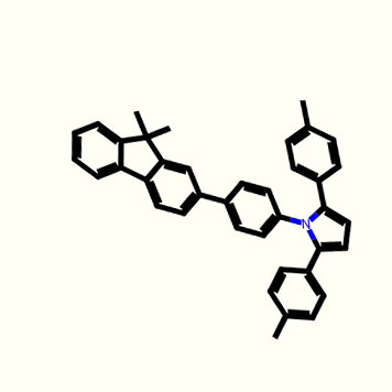 Cc1ccc(-c2ccc(-c3ccc(C)cc3)n2-c2ccc(-c3ccc4c(c3)C(C)(C)c3ccccc3-4)cc2)cc1